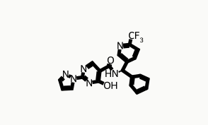 O=C(N[C@@H](c1ccccc1)c1ccc(C(F)(F)F)nc1)c1cnc(-n2cccn2)nc1O